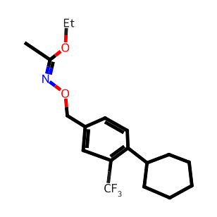 CCOC(C)=NOCc1ccc(C2CCCCC2)c(C(F)(F)F)c1